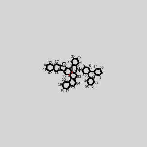 c1ccc(-c2ccc(N(c3ccc4c(ccc5ccccc54)c3)c3ccccc3-c3cccc4c3oc3cc5ccccc5cc34)cc2-c2ccccc2)cc1